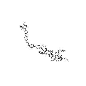 CCc1cc(Nc2ncc(Cl)c(Nc3ccc(OC)cc3N(C)S(C)(=O)=O)n2)c(OC)cc1N1CCC(N2CCN(CCCC3CCN(c4ccc(C5CCC(=O)NC5=O)cc4)CC3)CC2)CC1